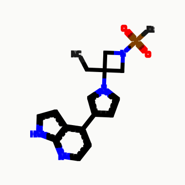 CCS(=O)(=O)N1CC(CC#N)(n2ccc(-c3ccnc4[nH]ccc34)c2)C1